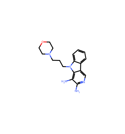 Nc1ncc2c3ccccc3n(CCCN3CCOCC3)c2c1N